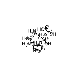 NCCCC[C@H](N)C(=O)O.N[C@@H](CS)C(=O)O.N[C@@H](Cc1c[nH]c2ccccc12)C(=O)O